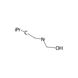 CC(C)CC[N]CO